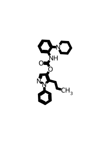 CCCc1c(OC(=O)Nc2ccccc2N2CCCCC2)cnn1-c1ccccc1